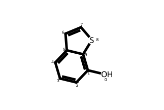 Oc1[c]ccc2ccsc12